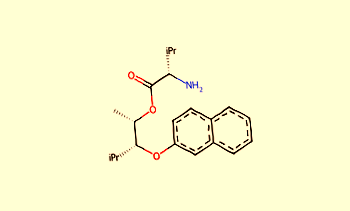 CC(C)[C@H](N)C(=O)O[C@@H](C)[C@H](Oc1ccc2ccccc2c1)C(C)C